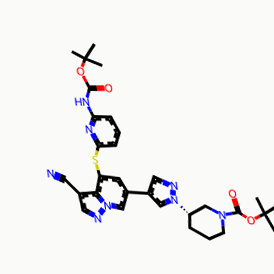 CC(C)(C)OC(=O)Nc1cccc(Sc2cc(-c3cnn([C@H]4CCCN(C(=O)OC(C)(C)C)C4)c3)cn3ncc(C#N)c23)n1